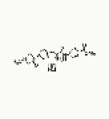 COC(=O)c1ccc(NC(=O)[C@@H](N)Cc2ccc(N3CCN(C)CC3=O)cc2)cc1.Cl.Cl